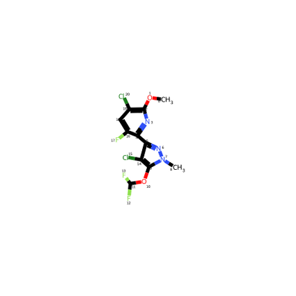 COc1nc(-c2nn(C)c(OC(F)F)c2Cl)c(F)cc1Cl